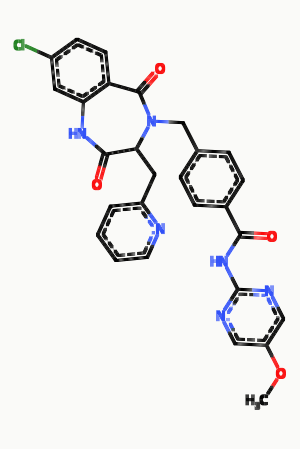 COc1cnc(NC(=O)c2ccc(CN3C(=O)c4ccc(Cl)cc4NC(=O)C3Cc3ccccn3)cc2)nc1